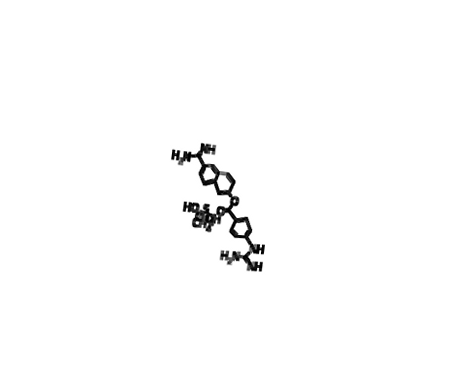 C.C.N=C(N)Nc1ccc(C(=O)Oc2ccc3cc(C(=N)N)ccc3c2)cc1.O=S(=O)(O)O